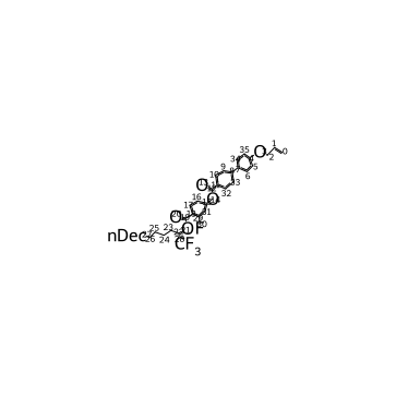 C=CCOc1ccc(-c2ccc(C(=O)Oc3ccc(C(=O)OC(CCCCCCCCCCCCCC)C(F)(F)F)c(F)c3)cc2)cc1